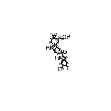 O=C(c1cc2cc(F)c(Cl)cc2[nH]1)N1CCC2NN3CCC4(CC4)N(CCO)CC3C2C1